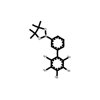 [2H]c1c([2H])c([2H])c(-c2cccc(B3OC(C)(C)C(C)(C)O3)c2)c([2H])c1[2H]